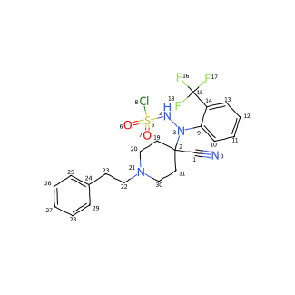 N#CC1(N(NS(=O)(=O)Cl)c2ccccc2C(F)(F)F)CCN(CCc2ccccc2)CC1